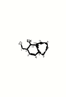 O=CC1C=Cc2ccccc2C1Br